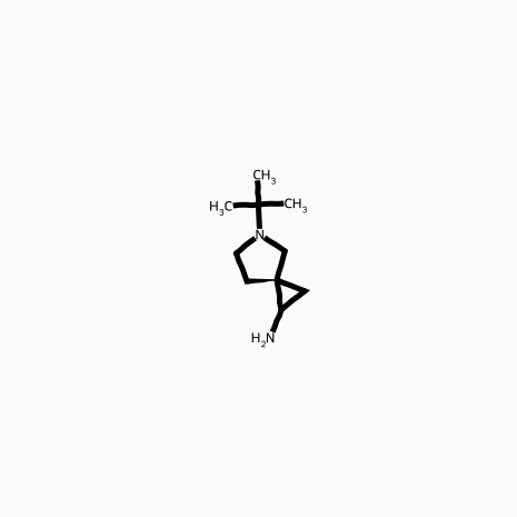 CC(C)(C)N1CC[C@]2(CC2N)C1